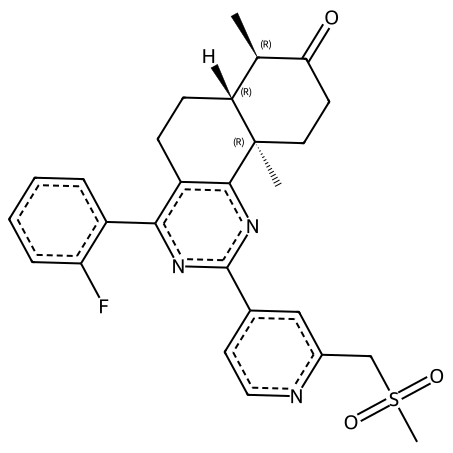 C[C@H]1C(=O)CC[C@@]2(C)c3nc(-c4ccnc(CS(C)(=O)=O)c4)nc(-c4ccccc4F)c3CC[C@H]12